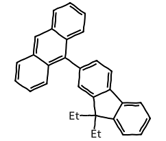 CCC1(CC)c2ccccc2-c2ccc(-c3c4ccccc4cc4ccccc34)cc21